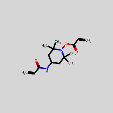 C=CC(=O)NC1CC(C)(C)N(OC(=O)C=C)C(C)(C)C1